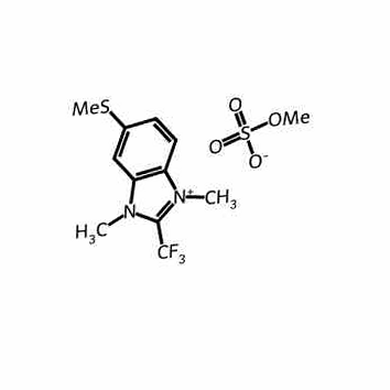 COS(=O)(=O)[O-].CSc1ccc2c(c1)n(C)c(C(F)(F)F)[n+]2C